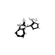 O=C(O)C1=C(n2c(=O)[nH]c3ccccc32)CCC1